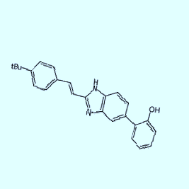 CC(C)(C)c1ccc(C=Cc2nc3cc(-c4ccccc4O)ccc3[nH]2)cc1